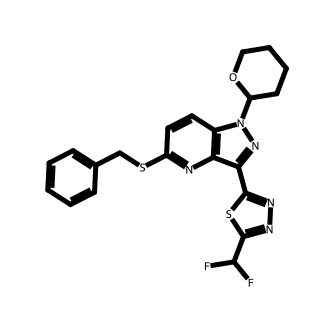 FC(F)c1nnc(-c2nn(C3CCCCO3)c3ccc(SCc4ccccc4)nc23)s1